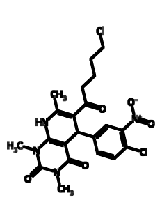 CC1=C(C(=O)CCCCCl)C(c2ccc(Cl)c([N+](=O)[O-])c2)c2c(n(C)c(=O)n(C)c2=O)N1